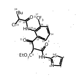 CCOC(=O)C(C(=O)Nc1nccs1)C(=O)c1cccc(C(F)(F)F)c1NC(=O)C(Cl)C(C)(C)C